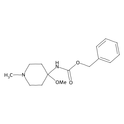 COC1(NC(=O)OCc2ccccc2)CCN(C)CC1